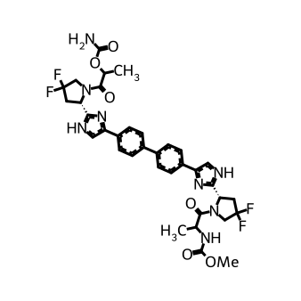 COC(=O)NC(C)C(=O)N1CC(F)(F)C[C@H]1c1nc(-c2ccc(-c3ccc(-c4c[nH]c([C@@H]5CC(F)(F)CN5C(=O)C(C)OC(N)=O)n4)cc3)cc2)c[nH]1